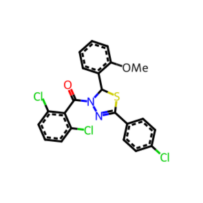 COc1ccccc1C1SC(c2ccc(Cl)cc2)=NN1C(=O)c1c(Cl)cccc1Cl